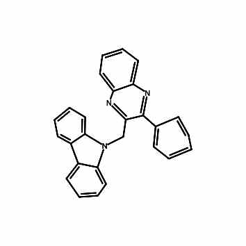 c1ccc(-c2nc3ccccc3nc2Cn2c3ccccc3c3ccccc32)cc1